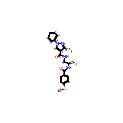 CCOc1ccc(C(=O)NC(C)CNC(=O)c2cn(-c3ccccc3)nc2C(F)(F)F)cc1